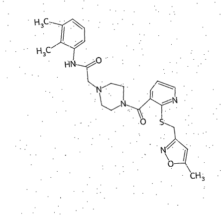 Cc1cc(CSc2ncccc2C(=O)N2CCN(CC(=O)Nc3cccc(C)c3C)CC2)no1